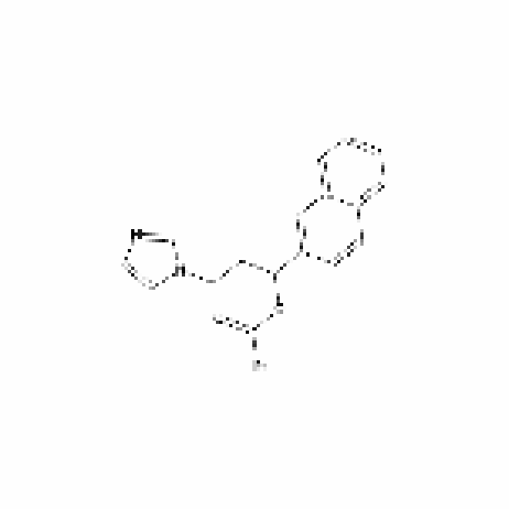 CCC(=O)OC(CCn1ccnc1)c1ccc2ccccc2c1